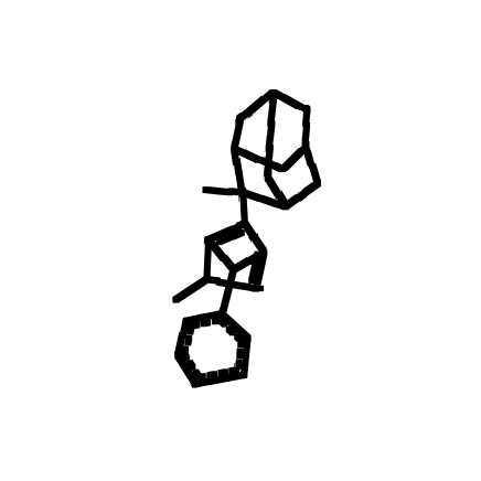 CC1[C]=C2C(C3(C)C4CC5CC(C4)CC3C5)=C1C2c1ccccc1